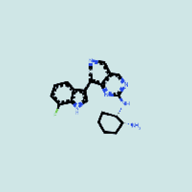 N[C@@H]1CCCC[C@@H]1Nc1ncc2cncc(-c3c[nH]c4c(F)cccc34)c2n1